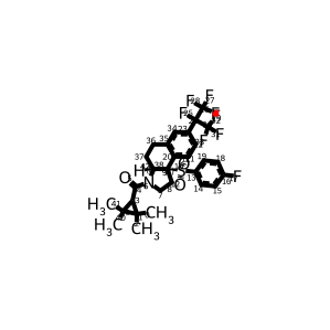 CC1(C)C(C(=O)N2CC[C@@]3(S(=O)(=O)c4ccc(F)cc4)c4ccc(C(F)(C(F)(F)F)C(F)(F)F)cc4CC[C@@H]23)C1(C)C